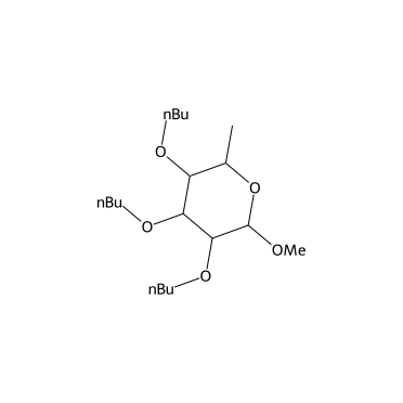 CCCCOC1C(C)OC(OC)C(OCCCC)C1OCCCC